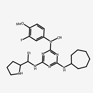 CCC(Nc1nc(NC2CCCCCC2)nc(N(C#N)c2ccc(OC)c(F)c2)n1)C1CCCN1